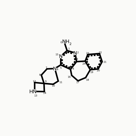 Nc1nc2c(c(N3CCC4(CC3)CNC4)n1)CCCc1ccccc1-2